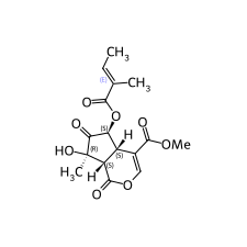 C/C=C(\C)C(=O)O[C@@H]1C(=O)[C@](C)(O)[C@H]2C(=O)OC=C(C(=O)OC)[C@@H]12